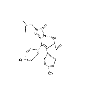 C=CC1Nn2c(nn(CC(C)C)c2=O)C(c2ccc(Cl)cc2)=C1c1ccc(Cl)cc1